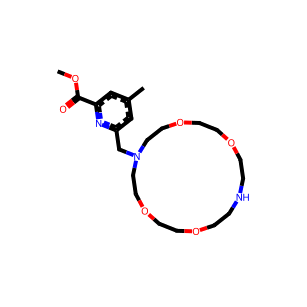 COC(=O)c1cc(C)cc(CN2CCOCCOCCNCCOCCOCC2)n1